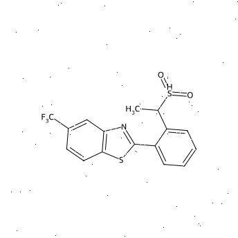 CC(c1ccccc1-c1nc2cc(C(F)(F)F)ccc2s1)[SH](=O)=O